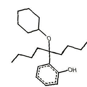 CCCCC(CCCC)(OC1CCCCC1)c1ccccc1O